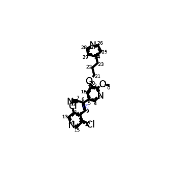 COc1ncc(/C(C#N)=C/c2c(Cl)cncc2Cl)cc1OCCCc1ccncc1